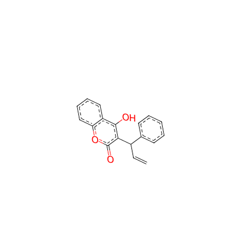 C=CC(c1ccccc1)c1c(O)c2ccccc2oc1=O